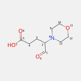 O=CC(CCC(=O)O)N1CCOCC1